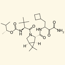 CC(C)[C@@H](C)OC(=O)N[C@H](C(=O)N1C[C@H]2[C@@H]([C@H]1C(=O)NC(CC1CCC1)C(=O)C(N)=O)C2(C)C)C(C)(C)C